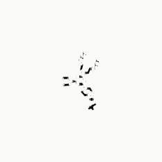 CC(C)(C)OC(=O)N1CCN(c2nc(N(CCN=[N+]=[N-])CCN=[N+]=[N-])nc(N3CCOCC3)n2)CC1